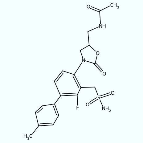 CC(=O)NCC1CN(c2ccc(-c3ccc(C)cc3)c(F)c2CS(N)(=O)=O)C(=O)O1